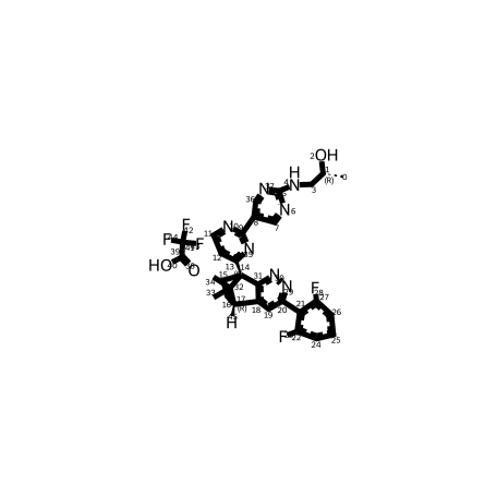 C[C@@H](O)CNc1ncc(-c2nccc([C@@]34CC[C@@H](c5cc(-c6c(F)cccc6F)nnc53)C4(C)C)n2)cn1.O=C(O)C(F)(F)F